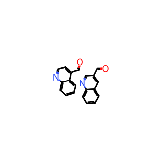 O=Cc1ccnc2ccccc12.O=Cc1cnc2ccccc2c1